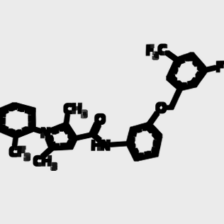 Cc1cc(C(=O)Nc2cccc(OCc3cc(F)cc(C(F)(F)F)c3)c2)c(C)n1-c1ccccc1C(F)(F)F